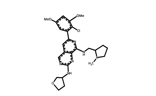 COc1cc(OC)c(Cl)c(-c2cc3cnc(NC4CCOC4)nc3c(NCC3CCCN3C)n2)c1